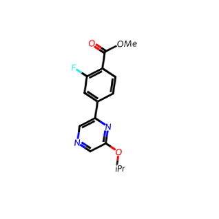 COC(=O)c1ccc(-c2cncc(OC(C)C)n2)cc1F